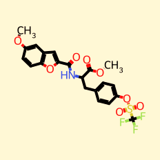 COC(=O)C(Cc1ccc(OS(=O)(=O)C(F)(F)F)cc1)NC(=O)c1cc2cc(OC)ccc2o1